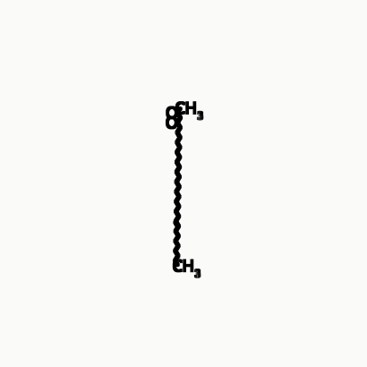 CCCCCCCCC=CCCCCCCCCCCCCCCCCCCCC(=O)CC(C)=O